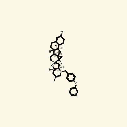 C[C@H]1C[C@H]2O[C@]3(CC[C@@]4(N)[C@@H]5CCC6=CC(=O)CC[C@]6(C)[C@H]5CC45CC53C)[C@H](C)[C@@H]2N(Cc2ccc(Oc3ccccc3)cc2)C1